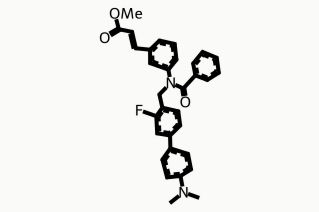 COC(=O)/C=C/c1cccc(N(Cc2ccc(-c3ccc(N(C)C)cc3)cc2F)C(=O)c2ccccc2)c1